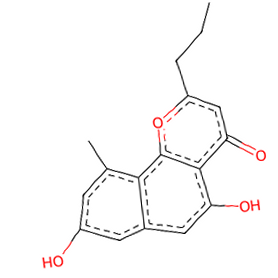 CCCc1cc(=O)c2c(O)cc3cc(O)cc(C)c3c2o1